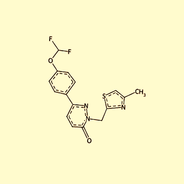 Cc1csc(Cn2nc(-c3ccc(OC(F)F)cc3)ccc2=O)n1